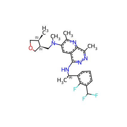 Cc1nc2c(C)nnc(N[C@H](C)c3cccc(C(F)F)c3F)c2cc1N(C)C[C@H]1COC[C@H]1C